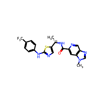 C[C@H](NC(=O)c1cc2c(cn1)ncn2C)c1cnc(Nc2ccc(C(F)(F)F)cc2)s1